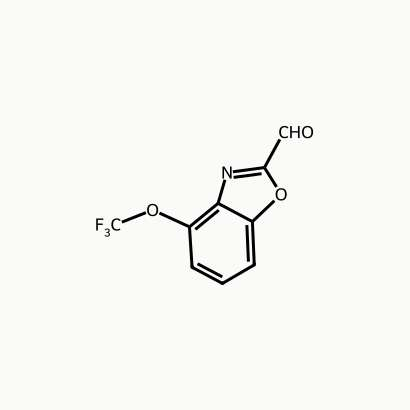 O=Cc1nc2c(OC(F)(F)F)cccc2o1